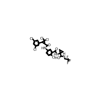 O=C(NC1(C(O)NCC(F)(F)F)CC1)c1cc(NC(=O)C2C(c3cc(Cl)cc(Cl)c3)C2(Cl)Cl)ccc1Cl